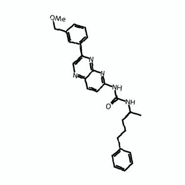 COCc1cccc(-c2cnc3ccc(NC(=O)NC(C)CCCc4ccccc4)nc3n2)c1